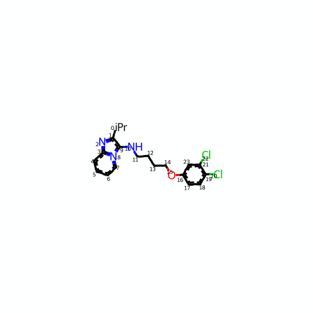 CC(C)c1nc2ccccn2c1NCCCCOc1ccc(Cl)c(Cl)c1